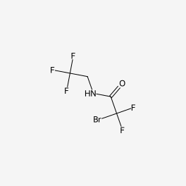 O=C(NCC(F)(F)F)C(F)(F)Br